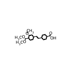 COc1cc(/C=C/c2ccc(C(=O)O)cc2)ccc1C(OC)OC